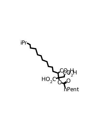 CCCCCC(=O)OC(CC(=O)O)(C(=O)O)C(CCCCCCCCCCC(C)C)C(=O)O